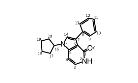 O=c1[nH]ccc2c1c(-c1ccccc1)cn2C1CCCC1